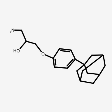 NCC(O)COc1ccc(C23CC4CC(CC(C4)C2)C3)cc1